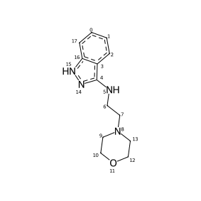 c1ccc2c(NCCN3CCOCC3)n[nH]c2c1